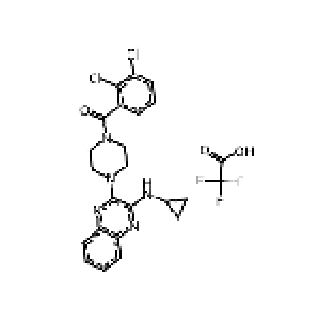 O=C(O)C(F)(F)F.O=C(c1cccc(Cl)c1Cl)N1CCN(c2nc3ccccc3nc2NC2CC2)CC1